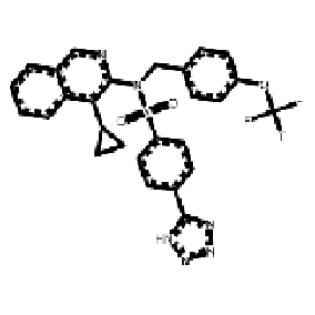 O=S(=O)(c1ccc(-c2nnn[nH]2)cc1)N(Cc1ccc(OC(F)(F)F)cc1)c1ncc2ccccc2c1C1CC1